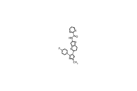 Cn1cc(-c2ccc3nc(NC(=O)c4ncccn4)cn3n2)c(-c2ccc(F)cc2)n1